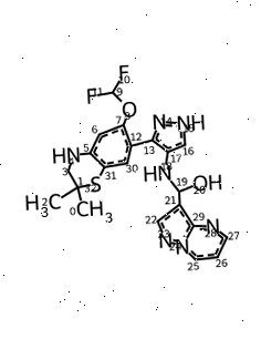 CC1(C)CNc2cc(OC(F)F)c(-c3n[nH]cc3NC(O)c3cnn4cccnc34)cc2S1